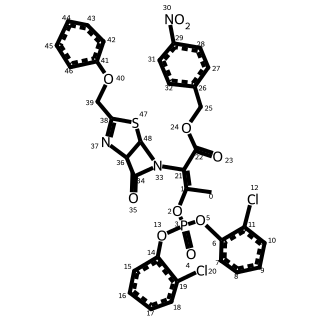 CC(OP(=O)(Oc1ccccc1Cl)Oc1ccccc1Cl)=C(C(=O)OCc1ccc([N+](=O)[O-])cc1)N1C(=O)C2N=C(COc3ccccc3)SC21